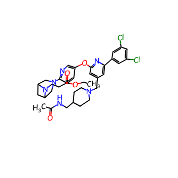 CCOC(=O)CCN1C2CC1CN(c1ccc(Oc3cc(CN4CCC(CNC(C)=O)CC4)cc(-c4cc(Cl)cc(Cl)c4)n3)cn1)C2